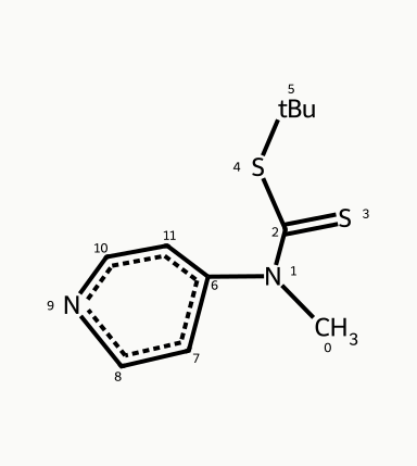 CN(C(=S)SC(C)(C)C)c1ccncc1